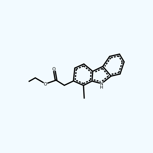 CCOC(=O)Cc1ccc2c([nH]c3ccccc32)c1C